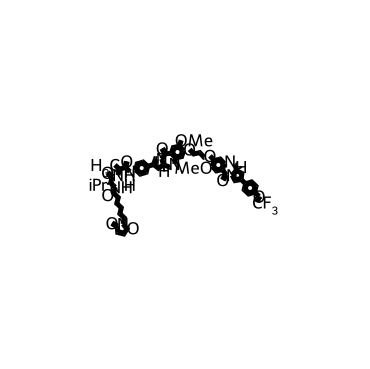 COc1cc2c(cc1OCCCOc1cc3c(cc1OC)C(=O)N1C=C(c4ccc(OC(F)(F)F)cc4)C[C@H]1C=N3)N=C[C@@H]1CC(c3ccc(NC(=O)C(C)NC(=O)[C@@H](NC(=O)CCCCCN4C(=O)C=CC4=O)C(C)C)cc3)=CN1C2=O